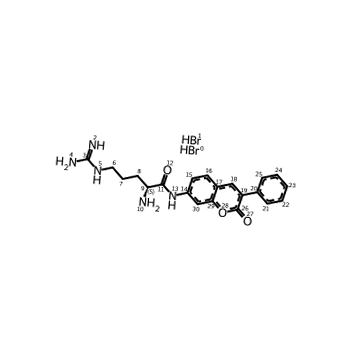 Br.Br.N=C(N)NCCC[C@H](N)C(=O)Nc1ccc2cc(-c3ccccc3)c(=O)oc2c1